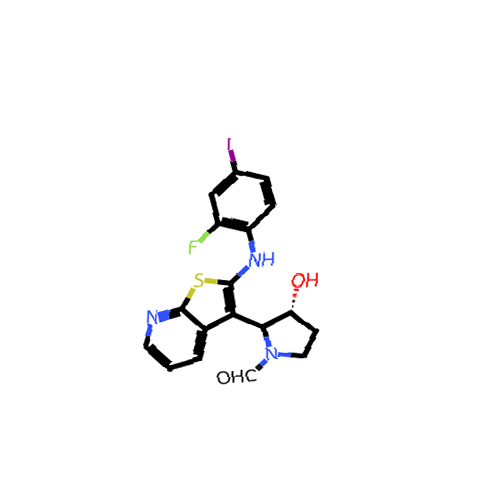 O=CN1CC[C@@H](O)C1c1c(Nc2ccc(I)cc2F)sc2ncccc12